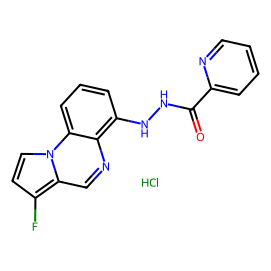 Cl.O=C(NNc1cccc2c1ncc1c(F)ccn12)c1ccccn1